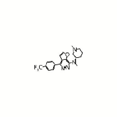 CN1CCC[C@@H](N(C)c2nnc(-c3ccc(C(F)(F)F)cc3)c3ccoc23)C1